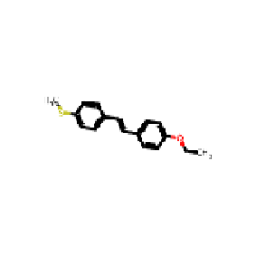 CCOc1ccc(C=Cc2ccc(SC)cc2)cc1